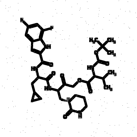 CC(C)C(NC(=O)OC(C)(C)C)C(=O)OCC(=O)C(C[C@@H]1CCCNC1=O)NC(=O)C(CC1CC1)NC(=O)c1cc2cc(F)cc(F)c2[nH]1